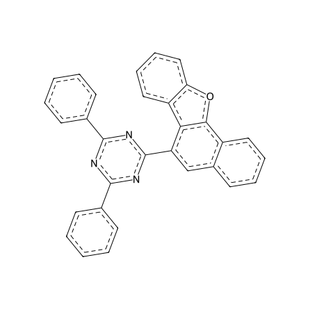 c1ccc(-c2nc(-c3ccccc3)nc(-c3cc4ccccc4c4oc5ccccc5c34)n2)cc1